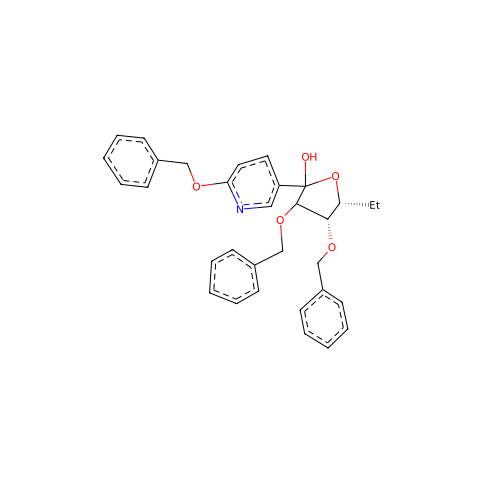 CC[C@H]1OC(O)(c2ccc(OCc3ccccc3)nc2)C(OCc2ccccc2)[C@H]1OCc1ccccc1